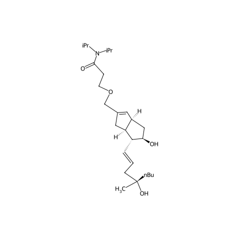 CCCC[C@](C)(O)C/C=C/[C@@H]1[C@H]2CC(COCCC(=O)N(C(C)C)C(C)C)=C[C@H]2C[C@H]1O